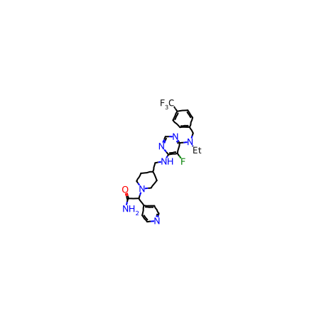 CCN(Cc1ccc(C(F)(F)F)cc1)c1ncnc(NCC2CCN(C(C(N)=O)c3ccncc3)CC2)c1F